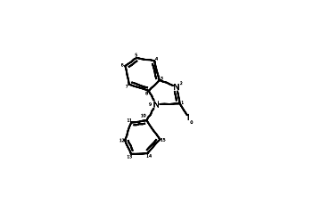 Ic1nc2ccccc2n1-c1ccccc1